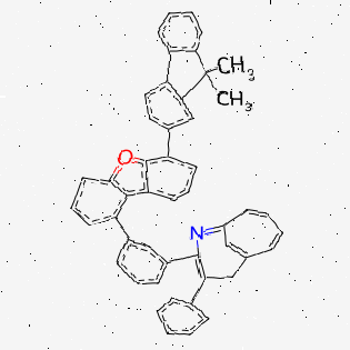 CC1(C)c2ccccc2-c2ccc(-c3cccc4c3oc3cccc(-c5cccc(C6=C(c7ccccc7)CC7=CC(=N6)C=CC=C7)c5)c34)cc21